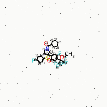 CCOC(c1ccc([C@]2([S+]([O-])c3ccc(F)cc3)CCN(C(=O)C3CCCCC3)C2)cc1F)(C(F)(F)F)C(F)(F)F